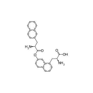 N[C@@H](Cc1cccc2ccc(OC(=O)[C@@H](N)Cc3ccc4ccccc4c3)cc12)C(=O)O